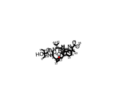 CCC(O)(CC)C(=O)N[C@H]1Cc2ccc3c(c2)C2(c4ccccc4N[C@H]2O3)c2oc(nc2-c2nc(C(=O)OC)c(C)o2)[C@H](C(C)C)NC1=O